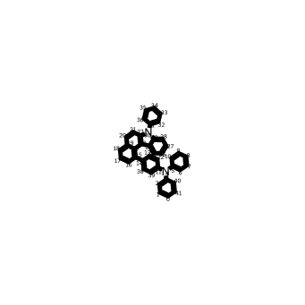 c1ccc(N(c2ccccc2)c2ccc(-c3cccc4ccc5c(c6ccccc6n5-c5ccccc5)c34)cc2)cc1